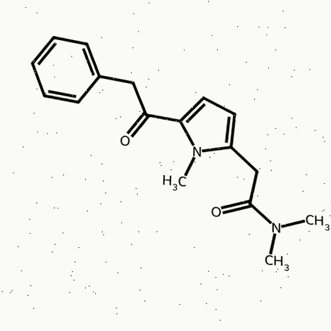 CN(C)C(=O)Cc1ccc(C(=O)Cc2ccccc2)n1C